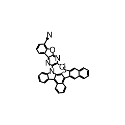 N#Cc1cccc2c1oc1nc(Cl)c(-n3c4ccccc4c4c5ccccc5c5c6cc7ccccc7cc6sc5c43)nc12